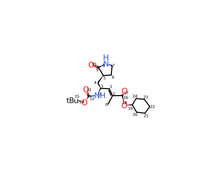 C/C(=C\[C@H](C[C@@H]1CCNC1=O)NC(=O)OC(C)(C)C)C(=O)OC1CCCCC1